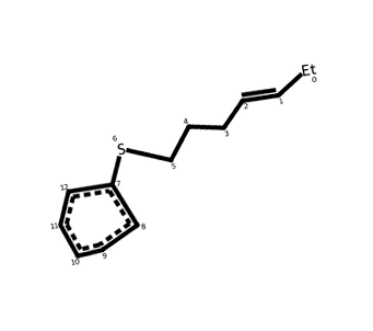 CC/C=C/CCCSc1ccccc1